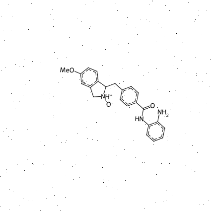 COc1ccc2c(c1)C[NH+]([O-])C2Cc1ccc(C(=O)Nc2ccccc2N)cc1